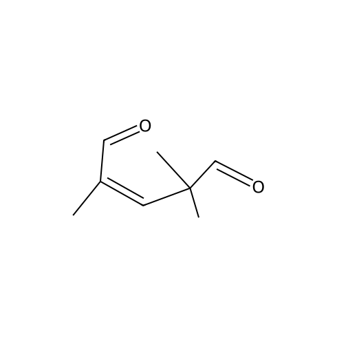 CC(C=O)=CC(C)(C)C=O